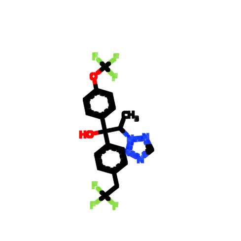 CC(n1ncnn1)C(O)(c1ccc(CC(F)(F)F)cc1)c1ccc(OC(F)(F)F)cc1